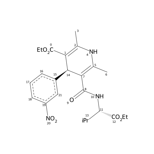 CCOC(=O)C1=C(C)NC(C)=C(C(=O)N[C@H](C(=O)OCC)C(C)C)[C@H]1c1cccc([N+](=O)[O-])c1